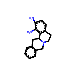 Nc1ccc2c(c1N)C1Cc3ccccc3CN1CC2